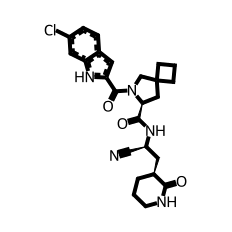 N#C[C@H](C[C@@H]1CCCNC1=O)NC(=O)[C@@H]1CC2(CCC2)CN1C(=O)c1cc2ccc(Cl)cc2[nH]1